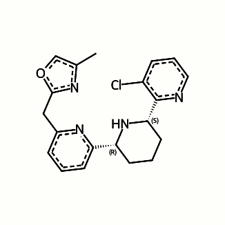 Cc1coc(Cc2cccc([C@H]3CCC[C@@H](c4ncccc4Cl)N3)n2)n1